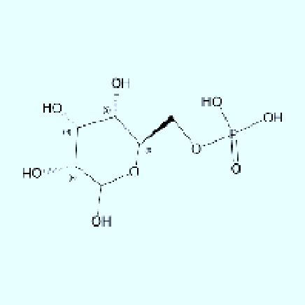 O=P(O)(O)OC[C@H]1OC(O)[C@H](O)[C@H](O)[C@@H]1O